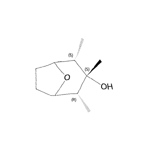 C[C@@H]1C2CCC(O2)[C@H](C)[C@]1(C)O